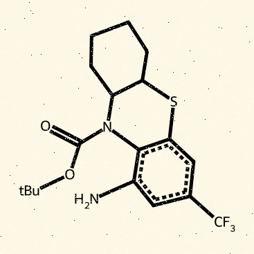 CC(C)(C)OC(=O)N1c2c(N)cc(C(F)(F)F)cc2SC2CCCCC21